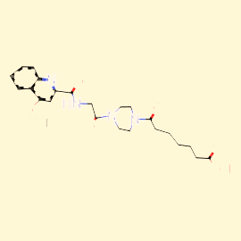 COc1cc(C(=O)NCC(=O)N2CCN(C(=O)CCCCCC(=O)O)CC2)nc2ccccc12